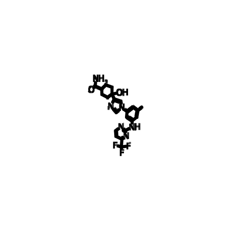 Cc1cc(Nc2nccc(C(F)(F)F)n2)cc(-n2cnc(C3(O)CCC(C(N)=O)CC3)c2)c1